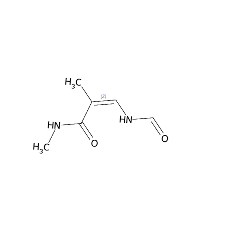 CNC(=O)/C(C)=C\NC=O